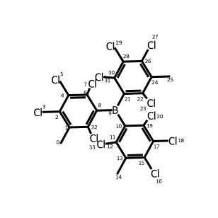 Cc1c(Cl)c(Cl)c(Cl)c(B(c2c(Cl)c(C)c(Cl)c(Cl)c2Cl)c2c(Cl)c(C)c(Cl)c(Cl)c2Cl)c1Cl